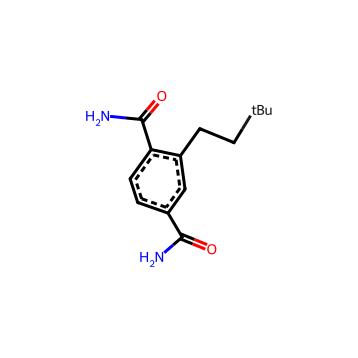 CC(C)(C)CCc1cc(C(N)=O)ccc1C(N)=O